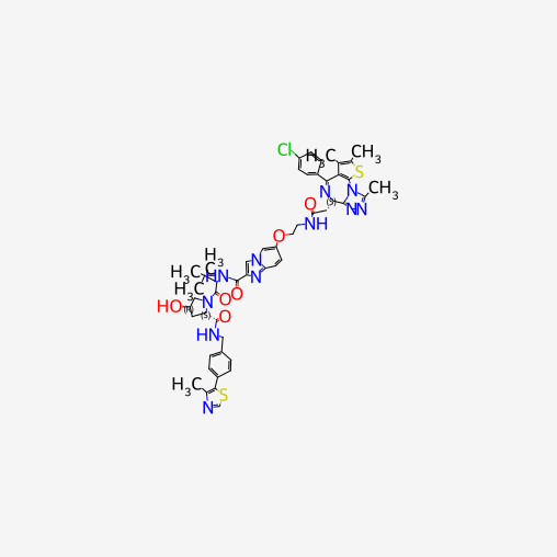 Cc1ncsc1-c1ccc(CNC(=O)[C@@H]2C[C@@H](O)CN2C(=O)C(NC(=O)c2cn3cc(OCCNC(=O)C[C@@H]4N=C(c5ccc(Cl)cc5)c5c(sc(C)c5C)-n5c(C)nnc54)ccc3n2)C(C)(C)C)cc1